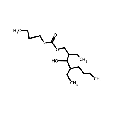 CCCCNC(=O)OCC(CC)C(O)C(CC)CCCC